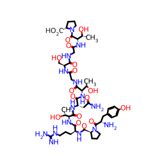 C[C@@H](O)[C@H](NC(=O)[C@H](CC(N)=O)NC(=O)[C@@H](NC(=O)[C@H](CCCNC(=N)N)NC(=O)[C@@H]1CCCN1C(=O)[C@@H](N)Cc1ccc(O)cc1)[C@@H](C)O)C(=O)NCC(=O)N[C@@H](CO)C(=O)NCC(=O)N[C@H](C(=O)N1CCC[C@H]1C(=O)O)[C@@H](C)O